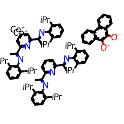 CC(=Nc1c(C(C)C)cccc1C(C)C)c1cccc(C(C)=Nc2c(C(C)C)cccc2C(C)C)n1.CC(=Nc1c(C(C)C)cccc1C(C)C)c1cccc(C(C)=Nc2c(C(C)C)cccc2C(C)C)n1.[Co+].[Co+].[O-]c1c([O-])c2ccccc2c2ccccc12